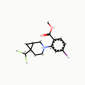 COC(=O)c1ccc(I)cc1N1CCC2(C(F)F)CC2C1